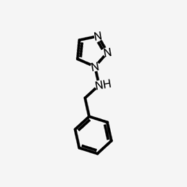 c1ccc(CNn2ccnn2)cc1